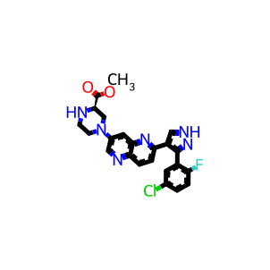 COC(=O)[C@H]1CN(c2cnc3ccc(-c4c[nH]nc4-c4cc(Cl)ccc4F)nc3c2)CCN1